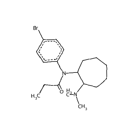 CCC(=O)N(c1ccc(Br)cc1)C1CCCCCC1N(C)C